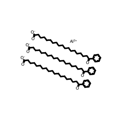 O=C([O-])CCCCCCCCCCCCCCCCCC(=O)c1ccccc1.O=C([O-])CCCCCCCCCCCCCCCCCC(=O)c1ccccc1.O=C([O-])CCCCCCCCCCCCCCCCCC(=O)c1ccccc1.[Al+3]